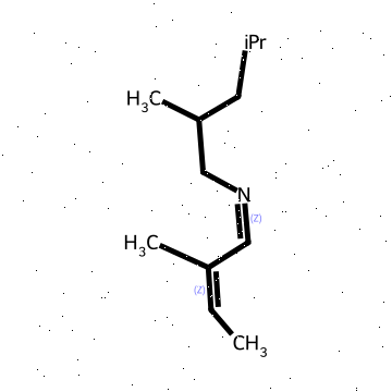 C/C=C(C)\C=N/CC(C)CC(C)C